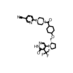 N#Cc1ccc(N2CCN(C(=O)C3CCC(OC[C@@H]4CCCN4c4cn[nH]c(=O)c4C(F)(F)F)CC3)CC2)nc1